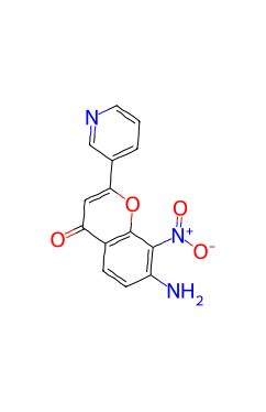 Nc1ccc2c(=O)cc(-c3cccnc3)oc2c1[N+](=O)[O-]